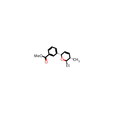 CC[C@H]1O[C@H](c2cccc(C(=O)OC)c2)C=C[C@@H]1C